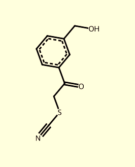 N#CSCC(=O)c1cccc(CO)c1